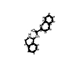 O=C(OC1NCCc2ccccc21)c1ccc2ccccc2n1